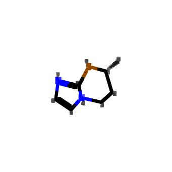 C[C@@H]1CCn2ccnc2S1